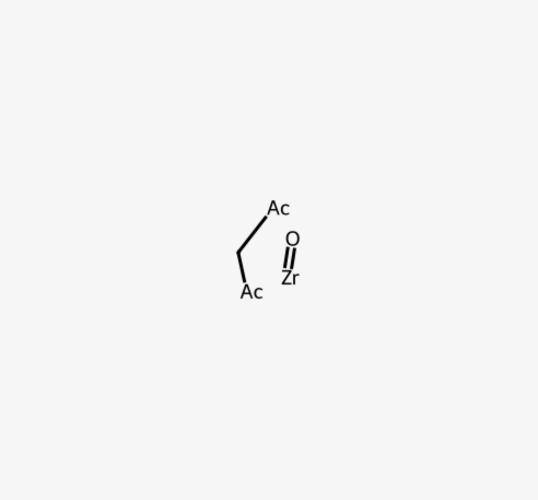 CC(=O)CC(C)=O.[O]=[Zr]